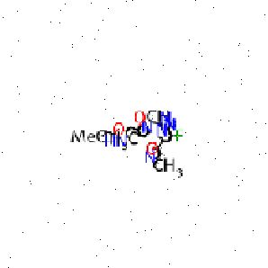 COCCO/C(C=N)=C/c1c(C)ccn([C@H](C)c2nnc3c(F)cc(-c4cc(C)no4)cn23)c1=O